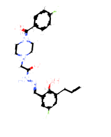 C=CCc1cc(F)cc(C=NNC(=O)CN2CCN(C(=O)c3ccc(F)cc3)CC2)c1O